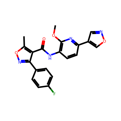 COc1nc(-c2cnoc2)ccc1NC(=O)c1c(-c2ccc(F)cc2)noc1C